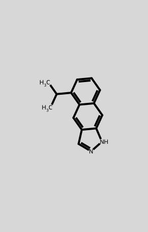 CC(C)c1cccc2cc3[nH]ncc3cc12